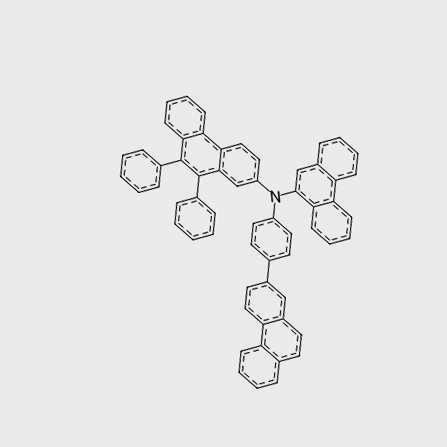 c1ccc(-c2c(-c3ccccc3)c3cc(N(c4ccc(-c5ccc6c(ccc7ccccc76)c5)cc4)c4cc5ccccc5c5ccccc45)ccc3c3ccccc23)cc1